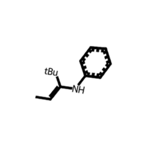 C/C=C(/Nc1ccccc1)C(C)(C)C